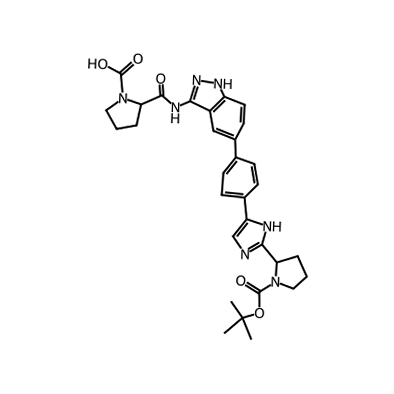 CC(C)(C)OC(=O)N1CCCC1c1ncc(-c2ccc(-c3ccc4[nH]nc(NC(=O)C5CCCN5C(=O)O)c4c3)cc2)[nH]1